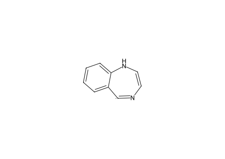 [C]1=NC=CNc2ccccc21